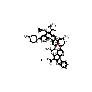 CNC(=O)c1c(NC(C)Cc2ccc3nc4c(C(=O)NC)c(NC5CC5)c5cc(N6CCCN(C)CC6)nnc5n4c3c2)c2cc(N3CCCN(C)CC3)nnc2n2c1nc1ccccc12